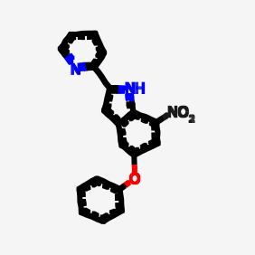 O=[N+]([O-])c1cc(Oc2ccccc2)cc2cc(-c3ccccn3)[nH]c12